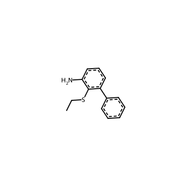 CCSc1c(N)cccc1-c1ccccc1